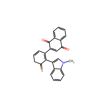 Cn1cc(C2=C(C3=CC(=O)c4ccccc4C3=O)C=CCC2=S)c2ccccc21